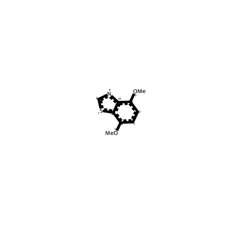 COc1ccc(OC)c2s[c]nc12